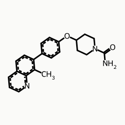 Cc1c(-c2ccc(OC3CCN(C(N)=O)CC3)cc2)ccc2cccnc12